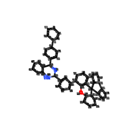 c1ccc(-c2ccc(C3=NC(c4cccc(-c5cccc6c5Oc5ccccc5C65c6ccccc6-c6ccccc65)c4)Nc4ccccc43)cc2)cc1